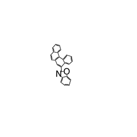 c1ccc2c(c1)ccc1cc(-c3nc4ccccc4o3)c3ccccc3c12